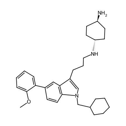 COc1ccccc1-c1ccc2c(c1)c(CCCN[C@H]1CC[C@H](N)CC1)cn2CC1CCCCC1